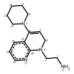 NCCN1CC=C(N2CCCCC2)c2cccnc21